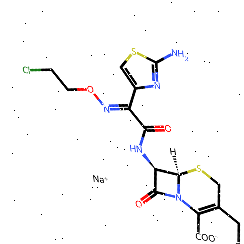 CC(=O)OCC1=C(C(=O)[O-])N2C(=O)[C@@H](NC(=O)C(=NOCCCl)c3csc(N)n3)[C@H]2SC1.[Na+]